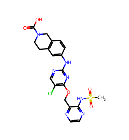 CS(=O)(=O)Nc1nccnc1COc1nc(Nc2ccc3c(c2)CCN(C(=O)O)C3)ncc1Cl